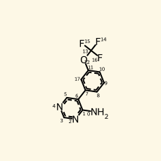 Nc1ncncc1-c1cccc(OC(F)(F)F)c1